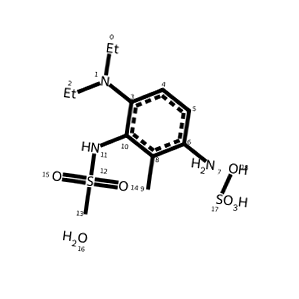 CCN(CC)c1ccc(N)c(C)c1NS(C)(=O)=O.O.O=S(=O)(O)O